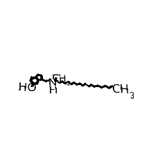 C=C(CCCCCCCCCCCCCCCCCCC)NCCC1=CCc2ccc(O)cc21